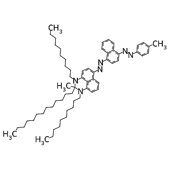 CCCCCCCCCCCCCC1(C)N(CCCCCCCCCC)c2cccc3c(/N=N/c4ccc(/N=N/c5ccc(C)cc5)c5ccccc45)ccc(c23)N1CCCCCCCCCC